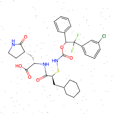 O=C(NS[C@@H](CC1CCCCC1)C(=O)N[C@@H](C[C@@H]1CCNC1=O)C(=O)O)OC(c1ccccc1)C(F)(F)c1cccc(Cl)c1